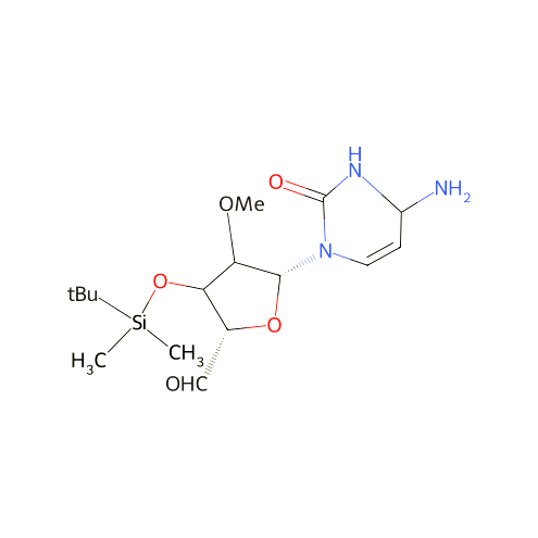 COC1C(O[Si](C)(C)C(C)(C)C)[C@@H](C=O)O[C@H]1N1C=CC(N)NC1=O